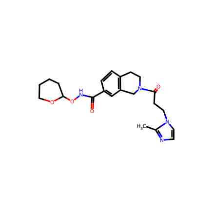 Cc1nccn1CCC(=O)N1CCc2ccc(C(=O)NOC3CCCCO3)cc2C1